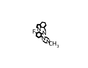 CN1CCN(c2ccc(F)c3c2N=CC2=CCCc4ccn-3c42)CC1